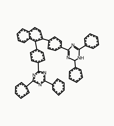 c1ccc(C2=NC(c3ccc(-c4ccc5ccccc5c4-c4ccc(-c5nc(-c6ccccc6)nc(-c6ccccc6)n5)cc4)cc3)=NC(c3ccccc3)N2)cc1